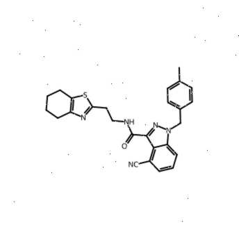 Cc1ccc(Cn2nc(C(=O)NCCc3nc4c(s3)CCCC4)c3c(C#N)cccc32)cc1